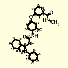 CNC(=O)c1cc(Oc2ccc(NC(=O)Nc3c4c(nn3-c3ccccc3)CCCC4)c(F)c2)ccn1